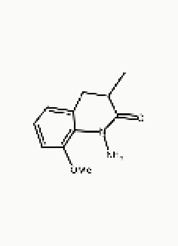 COc1cccc2c1N(N)C(=O)C(C)C2